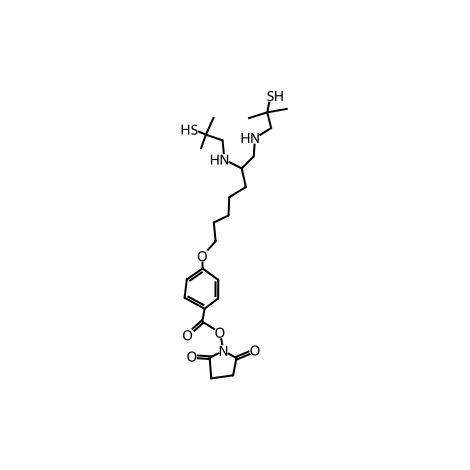 CC(C)(S)CNCC(CCCCCOc1ccc(C(=O)ON2C(=O)CCC2=O)cc1)NCC(C)(C)S